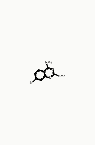 CNc1nc(NC)c2ccc(Br)cc2n1